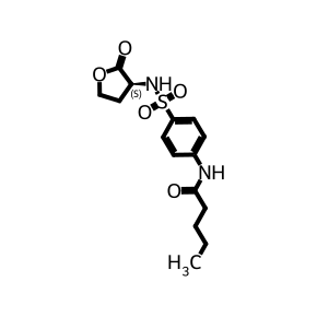 CCCCC(=O)Nc1ccc(S(=O)(=O)N[C@H]2CCOC2=O)cc1